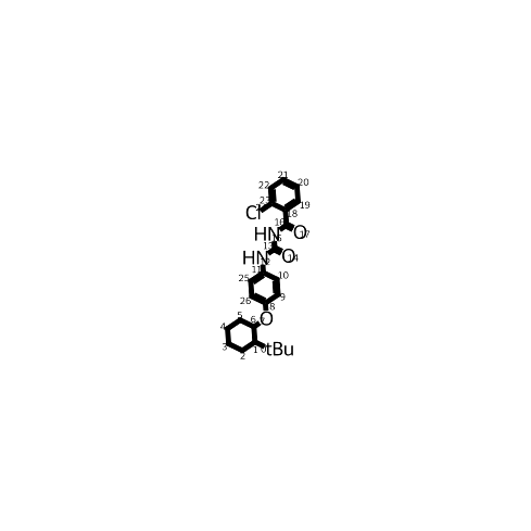 CC(C)(C)C1CCCCC1Oc1ccc(NC(=O)NC(=O)c2ccccc2Cl)cc1